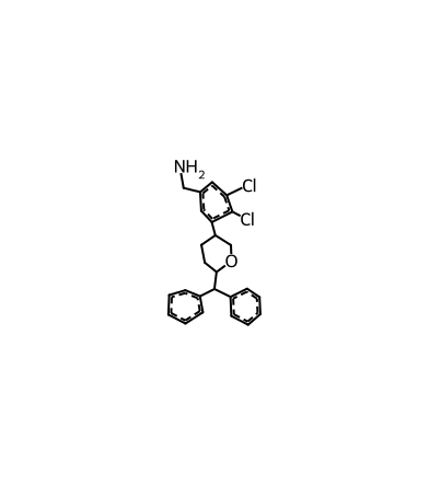 NCc1cc(Cl)c(Cl)c(C2CCC(C(c3ccccc3)c3ccccc3)OC2)c1